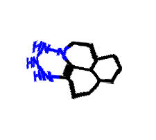 C1CC2CCc3[nH][nH][nH]n4c3C2C(C1)CC4